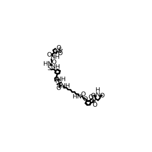 CC(C)(C(=O)NCCCCCCCCNC(=O)COc1cccc2c1C(=O)N(C1CCC(=O)NC1=O)C2=O)N1CCC(c2cccc(C3CSC(NC(=O)CNC(=O)C4CCN(S(C)(=O)=O)C4)N3)c2)N1